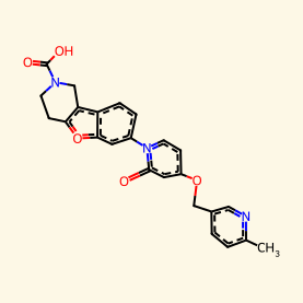 Cc1ccc(COc2ccn(-c3ccc4c5c(oc4c3)CCN(C(=O)O)C5)c(=O)c2)cn1